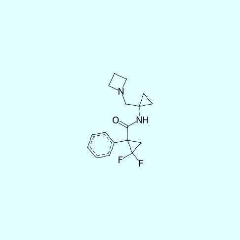 O=C(NC1(CN2CCC2)CC1)C1(c2ccccc2)CC1(F)F